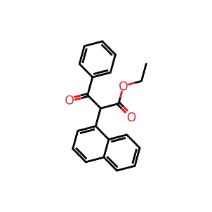 CCOC(=O)C(C(=O)c1ccccc1)c1cccc2ccccc12